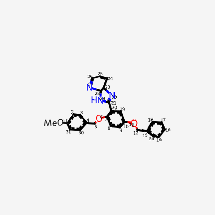 COc1ccc(COc2ccc(OCc3ccccc3)cc2C2=NC3C=CC=NC3N2)cc1